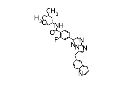 CC(C)C[C@@H](C=O)NC(=O)c1ccc(-c2cnc3ncc(Cc4ccc5ncccc5c4)n3n2)cc1F